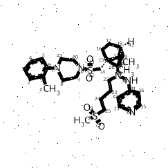 Cc1ccccc1N1CCN(S(=O)(=O)C[C@@]23CC[C@@H](C[C@H]2N(CCCCS(C)(=O)=O)Nc2ccncc2)C3(C)C)CC1